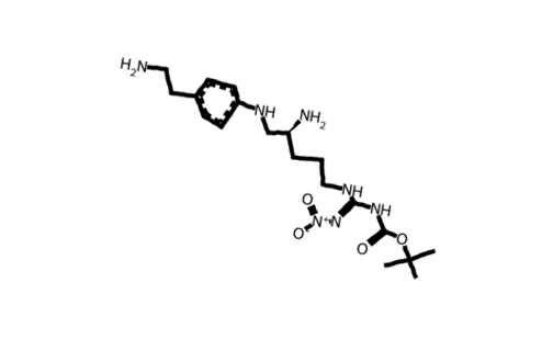 CC(C)(C)OC(=O)NC(=N[N+](=O)[O-])NCCC[C@H](N)CNc1ccc(CCN)cc1